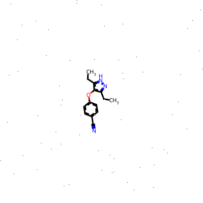 CCc1n[nH]c(CC)c1Oc1ccc(C#N)cc1